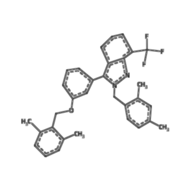 Cc1ccc(Cn2nc3c(C(F)(F)F)cccc3c2-c2cccc(OCc3c(C)cccc3C)c2)c(C)c1